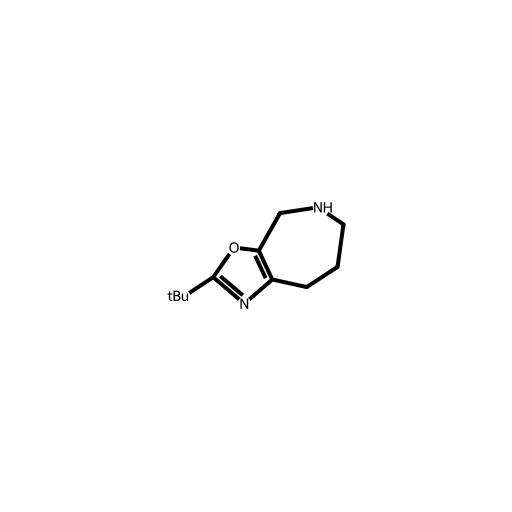 CC(C)(C)c1nc2c(o1)CNCCC2